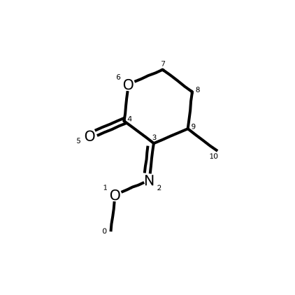 CO/N=C1\C(=O)OCCC1C